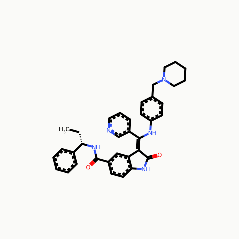 CC[C@H](NC(=O)c1ccc2c(c1)/C(=C(/Nc1ccc(CN3CCCCC3)cc1)c1cccnc1)C(=O)N2)c1ccccc1